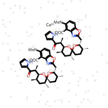 CNc1ccc2oc(C[C@H]3OC4(CC[C@H]3C)O[C@H]([C@H](C)C(=O)c3ccc[nH]3)[C@H](C)C[C@H]4C)nc2c1C(=O)[O-].CNc1ccc2oc(C[C@H]3O[C@@]4(CC[C@H]3C)O[C@H]([C@H](C)C(=O)c3ccc[nH]3)[C@H](C)C[C@H]4C)nc2c1C(=O)[O-].[Ca+2]